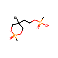 CCC1(CCOP(C)(=O)O)COP(C)(=O)OC1